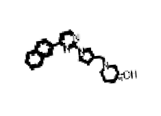 O[C@@H]1CCCN(CC2CCN(c3nccc(-c4ccc5ccccc5c4)n3)C2)C1